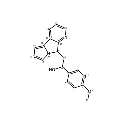 COc1ccc(C(O)CC2c3ncccc3-c3cncn32)cn1